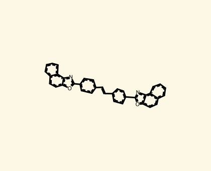 C(=Cc1ccc(-c2nc3c(ccc4ccccc43)o2)cc1)c1ccc(-c2nc3c(ccc4ccccc43)o2)cc1